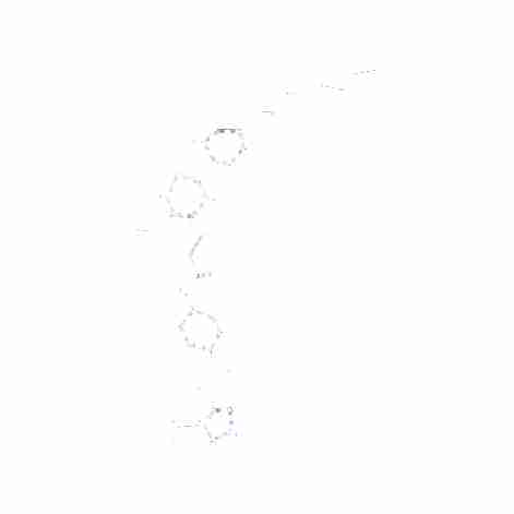 CCCCOCCOc1ccc(-c2ccc(OC)c(/C=C/C(=O)Nc3ccc([S@+]([O-])Cc4cncn4CC)cc3)c2)cc1